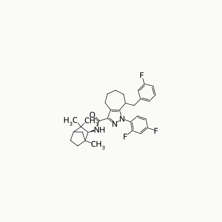 CC12CCC(C1)C(C)(C)[C@H]2NC(=O)c1nn(-c2ccc(F)cc2F)c2c1CCCCC2Cc1cccc(F)c1